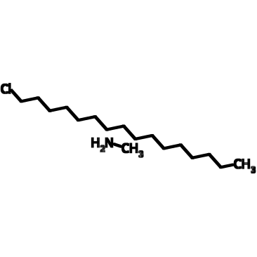 CCCCCCCCCCCCCCCCCl.CN